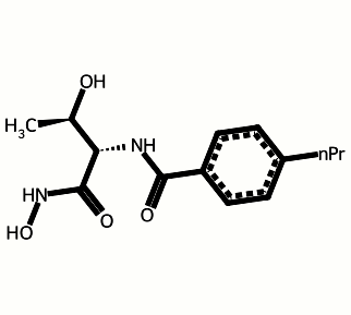 CCCc1ccc(C(=O)N[C@H](C(=O)NO)[C@@H](C)O)cc1